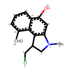 CC(C)(C)N1CC(CCl)c2c1cc(O)c1cccc(C=O)c21